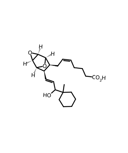 CC1(C(O)/C=C/[C@@H]2[C@H](C/C=C\CCCC(=O)O)[C@H]3O[C@@H]2[C@H]2O[C@H]23)CCCCC1